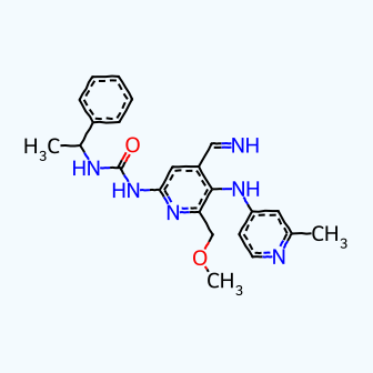 COCc1nc(NC(=O)NC(C)c2ccccc2)cc(C=N)c1Nc1ccnc(C)c1